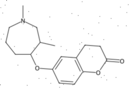 CC1CN(C)CCCC1Oc1ccc2c(c1)CCC(=O)O2